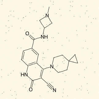 CN1CC(NC(=O)c2ccc3[nH]c(=O)c(C#N)c(N4CCC5(CC4)CC5)c3c2)C1